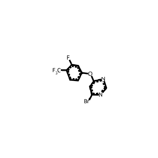 Fc1cc(Oc2cc(Br)ncn2)ccc1C(F)(F)F